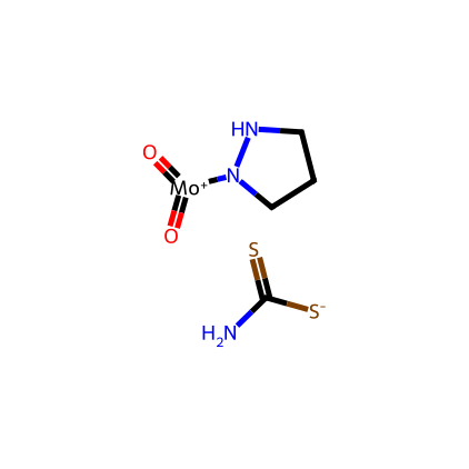 NC(=S)[S-].[O]=[Mo+](=[O])[N]1CCCN1